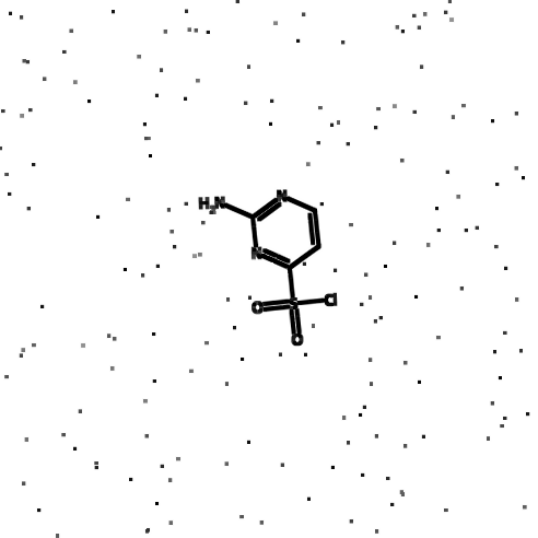 Nc1nccc(S(=O)(=O)Cl)n1